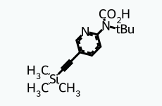 CC(C)(C)N(C(=O)O)c1ccc(C#C[Si](C)(C)C)cn1